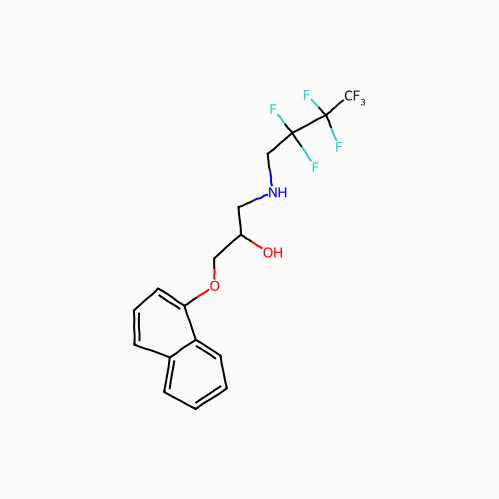 OC(CNCC(F)(F)C(F)(F)C(F)(F)F)COc1cccc2ccccc12